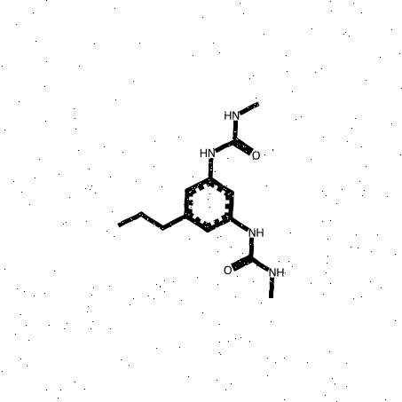 CCCc1cc(NC(=O)NC)cc(NC(=O)NC)c1